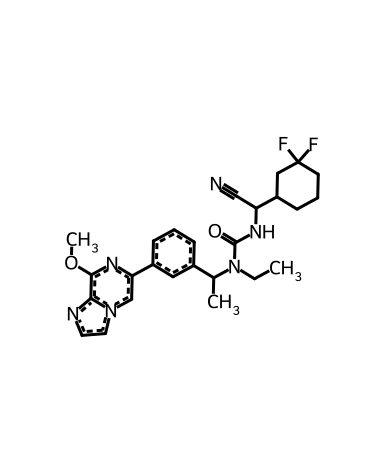 CCN(C(=O)NC(C#N)C1CCCC(F)(F)C1)C(C)c1cccc(-c2cn3ccnc3c(OC)n2)c1